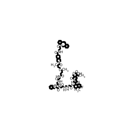 CC[C@@]1(O)C(=O)OCc2c1cc1n(c2=O)Cc2c-1nc1cc(F)c(C)c3c1c2[C@@H](NC(=O)CNCNC(=O)CNC(=O)[C@H](Cc1ccccc1)NC(=O)CNC(=O)CNC(=O)CCC(C)OCCC(C)C(=O)N1CCC2(CCC(C(=O)NCCC(=O)N4Cc5ccccc5C#Cc5ccccc54)CC2)CC1)CC3